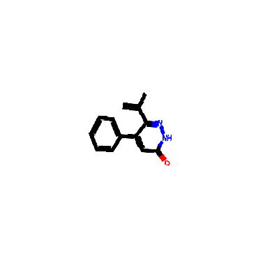 C=C(C)c1n[nH]c(=O)cc1-c1ccccc1